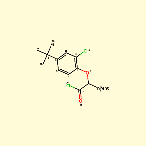 CCCCCC(Oc1ccc(C(C)(C)CC)cc1Cl)C(=O)Cl